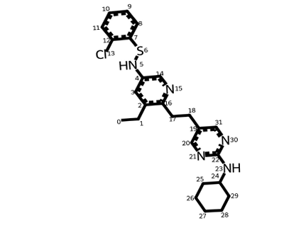 CCc1cc(NSc2ccccc2Cl)cnc1CCc1cnc(NC2CCCCC2)nc1